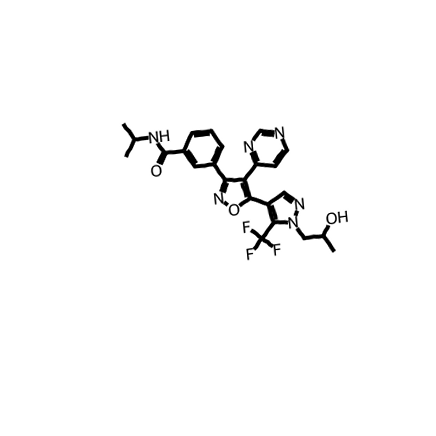 CC(O)Cn1ncc(-c2onc(-c3cccc(C(=O)NC(C)C)c3)c2-c2ccncn2)c1C(F)(F)F